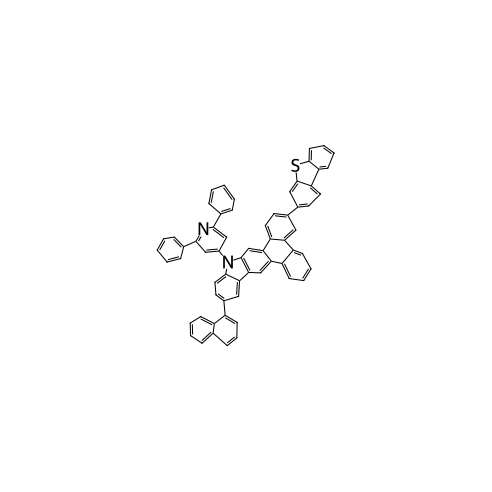 c1ccc(-c2cc(-n3c4ccc(-c5cccc6ccccc56)cc4c4cc5c6ccccc6c6cc(-c7ccc8c(c7)sc7ccccc78)ccc6c5cc43)cc(-c3ccccc3)n2)cc1